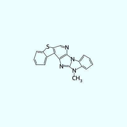 Cn1c2ccccc2n2c3ncc4sc5ccccc5c4c3nc12